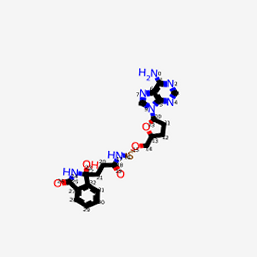 Nc1ncnc2c1ncn2C1CCC(COSNC(=O)CCC2(O)NC(=O)c3ccccc32)O1